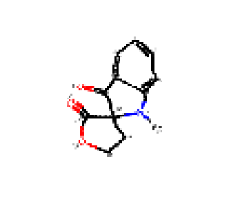 CC(=O)N1c2ccccc2C(=O)C12CCOC2=O